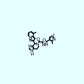 Cc1nn(C)cc1-c1nnc(C(=O)N2CCc3[nH]cnc3C2c2cc3c(C)cccn3n2)o1